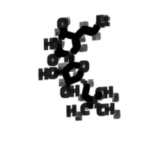 C=P(C)(C)CC[C@H]1O[C@@H](n2cc(/C=C/CC)c(=O)[nH]c2=O)[C@H](O)[C@@H]1O